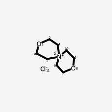 C1C[N+]2(CCO1)CCOCC2.[Cl-]